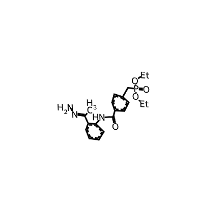 CCOP(=O)(Cc1ccc(C(=O)Nc2ccccc2C(C)=NN)cc1)OCC